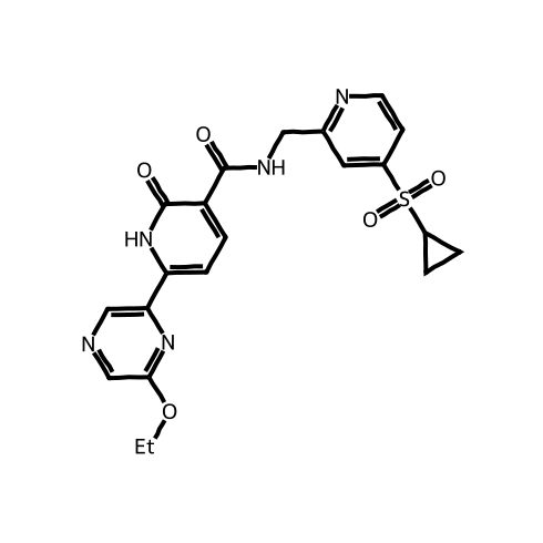 CCOc1cncc(-c2ccc(C(=O)NCc3cc(S(=O)(=O)C4CC4)ccn3)c(=O)[nH]2)n1